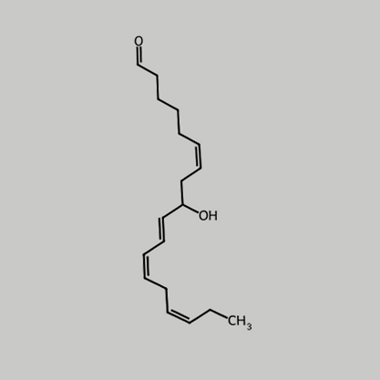 CC/C=C\C/C=C\C=C\C(O)C/C=C\CCCCC=O